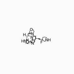 C[C@@H]1COCCN1c1cc(C#CC2(F)CCCNC2)c2cnn(-c3cc[nH]n3)c2n1